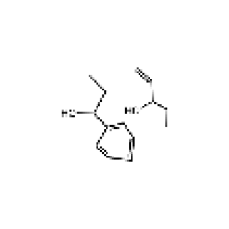 C=CC(O)CC.CCC(O)c1ccccc1